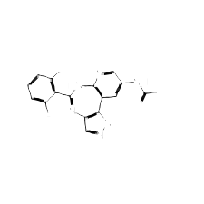 CC(=O)Nc1cnc2c(c1)-c1[nH]ncc1N=C(c1c(F)cccc1F)N2